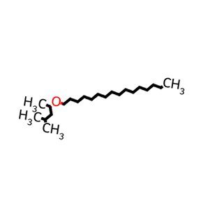 CCCCCCCCCCCCCCCCOC(C)CC(C)C